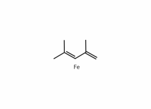 C=C(C)C=C(C)C.[Fe]